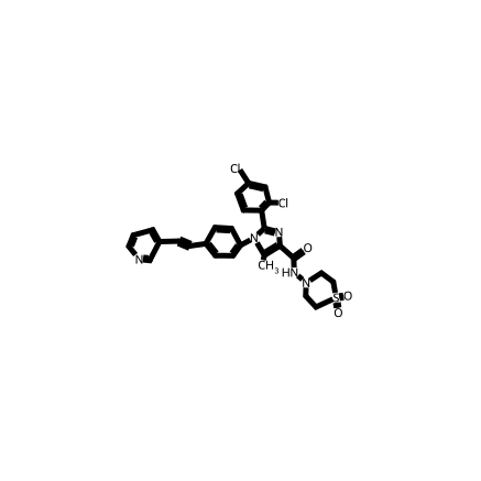 Cc1c(C(=O)NN2CCS(=O)(=O)CC2)nc(-c2ccc(Cl)cc2Cl)n1-c1ccc(C#Cc2cccnc2)cc1